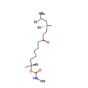 CCCCC(CC)C[C@](C)(CC)CCC(=O)CCCCC[C@](C)(CC)OC(=O)NCCC